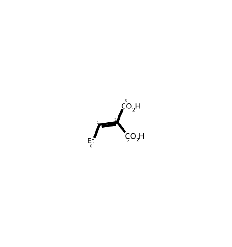 [CH2]CC=C(C(=O)O)C(=O)O